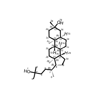 C[C@H](CCC(C)(C)O)[C@H]1CC[C@H]2[C@@H]3CC[C@@H]4C[C@@](C)(O)CC[C@]4(C)[C@H]3CC[C@]12C